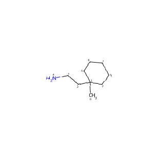 CC1(CCN)CCCCC1